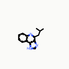 CC(C)Cc1nc2ccccc2c2[nH]cnc12